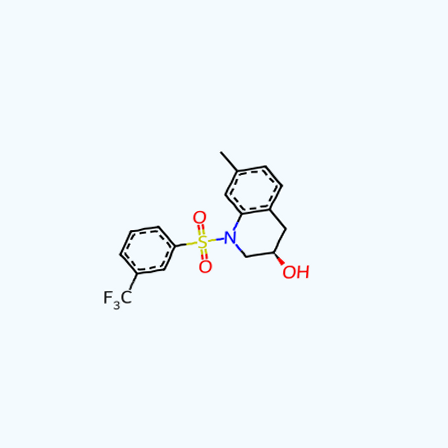 Cc1ccc2c(c1)N(S(=O)(=O)c1cccc(C(F)(F)F)c1)C[C@H](O)C2